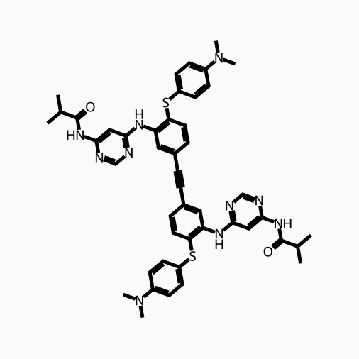 CC(C)C(=O)Nc1cc(Nc2cc(C#Cc3ccc(Sc4ccc(N(C)C)cc4)c(Nc4cc(NC(=O)C(C)C)ncn4)c3)ccc2Sc2ccc(N(C)C)cc2)ncn1